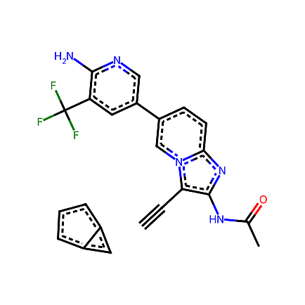 C#Cc1c(NC(C)=O)nc2ccc(-c3cnc(N)c(C(F)(F)F)c3)cn12.c1cc2cc-2c1